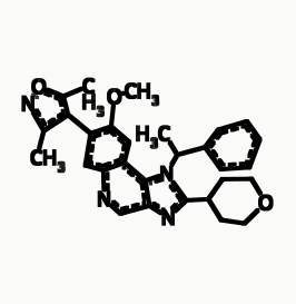 COc1cc2c(cc1-c1c(C)noc1C)ncc1nc(C3CCOCC3)n(C(C)c3ccccc3)c12